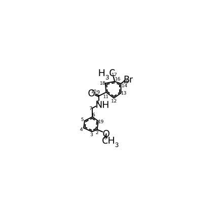 COc1cccc(CNC(=O)c2ccc(Br)c(C)c2)c1